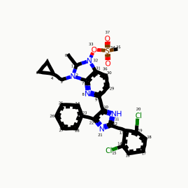 CC1N(CC2CC2)c2nc(-c3[nH]c(-c4c(Cl)cccc4Cl)nc3-c3ccccc3)ccc2N1OS(C)(=O)=O